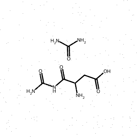 NC(=O)NC(=O)C(N)CC(=O)O.NC(N)=O